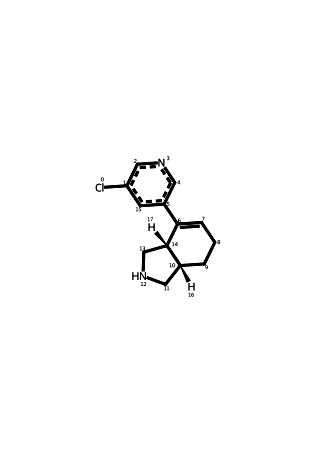 Clc1cncc(C2=CCC[C@@H]3CNC[C@H]23)c1